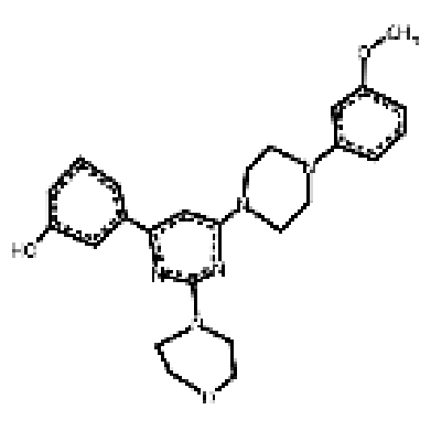 COc1cccc(N2CCN(c3cc(-c4cccc(O)c4)nc(N4CCOCC4)n3)CC2)c1